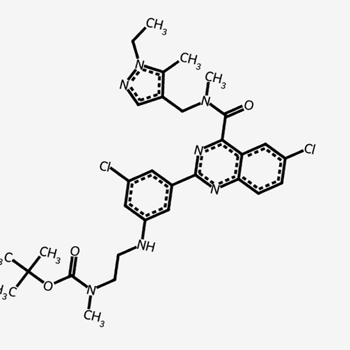 CCn1ncc(CN(C)C(=O)c2nc(-c3cc(Cl)cc(NCCN(C)C(=O)OC(C)(C)C)c3)nc3ccc(Cl)cc23)c1C